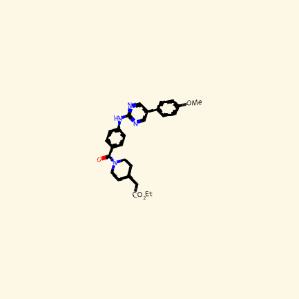 CCOC(=O)CC1CCN(C(=O)c2ccc(Nc3ncc(-c4ccc(OC)cc4)cn3)cc2)CC1